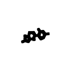 Cc1ccc(C2=C=Cc3sc(C)cc3S2)c(C)c1